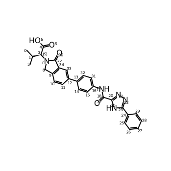 CC(C)[C@@H](C(=O)O)N1Cc2ccc(-c3ccc(NC(=O)c4nnc(-c5ccccc5)[nH]4)cc3)cc2C1=O